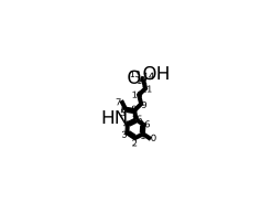 Cc1ccc2[nH]c(C)c(CCCC(=O)O)c2c1